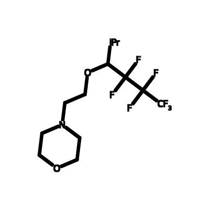 CC(C)C(OCCN1CCOCC1)C(F)(F)C(F)(F)C(F)(F)F